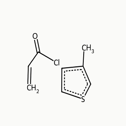 C=CC(=O)Cl.Cc1ccsc1